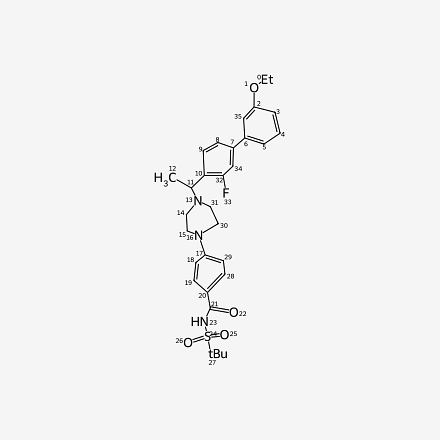 CCOc1cccc(-c2ccc(C(C)N3CCN(c4ccc(C(=O)NS(=O)(=O)C(C)(C)C)cc4)CC3)c(F)c2)c1